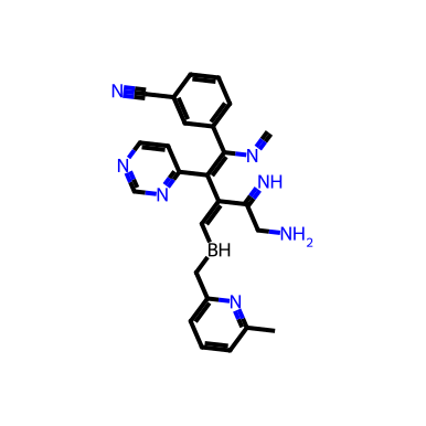 C=N/C(=C(\C(=C\BCc1cccc(C)n1)C(=N)CN)c1ccncn1)c1cccc(C#N)c1